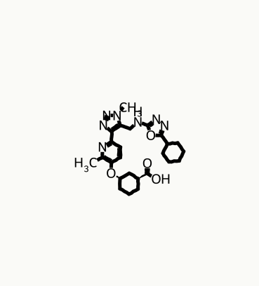 Cc1nc(-c2nnn(C)c2CNc2nnc(C3CCCCC3)o2)ccc1O[C@H]1CCC[C@H](C(=O)O)C1